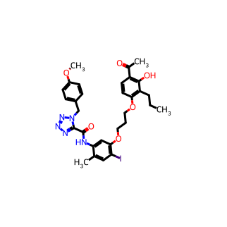 CCCc1c(OCCCOc2cc(NC(=O)c3nnnn3Cc3ccc(OC)cc3)c(C)cc2I)ccc(C(C)=O)c1O